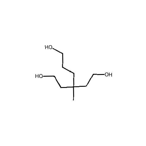 CC(CCO)(CCO)CCCO